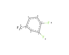 Fc1[c]c(C(F)(F)F)ccc1F